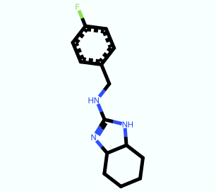 Fc1ccc(CNC2=NC3CCCCC3N2)cc1